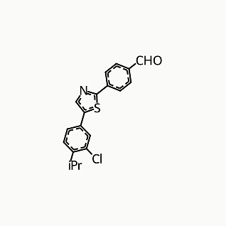 CC(C)c1ccc(-c2cnc(-c3ccc(C=O)cc3)s2)cc1Cl